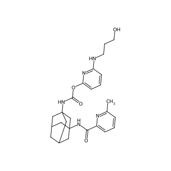 Cc1cccc(C(=O)NC23CC4CC(CC(NC(=O)Oc5cccc(NCCCO)n5)(C4)C2)C3)n1